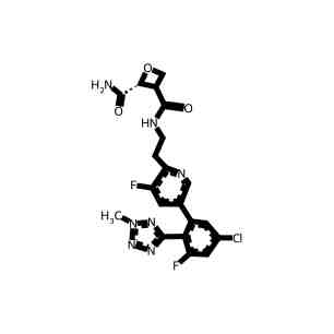 Cn1nnc(-c2c(F)cc(Cl)cc2-c2cnc(CCNC(=O)[C]3CO[C@H]3C(N)=O)c(F)c2)n1